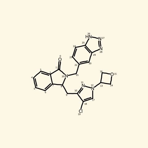 O=C1c2ccccc2C(Cc2nn(C3COC3)cc2Cl)N1Cc1ccc2[nH]nnc2c1